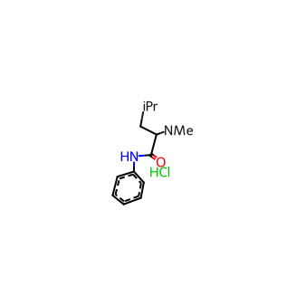 CNC(CC(C)C)C(=O)Nc1ccccc1.Cl